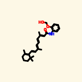 CC(C=CC1=C(C)CCCC1(C)C)=CC=CC(C)=CC(=O)Nc1ccccc1OCO